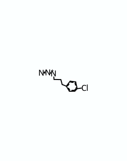 [N-]=[N+]=NCCCc1ccc(Cl)cc1